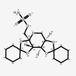 NS(=O)(=O)OC[C@@]12OC[C@H]3OC4(CCCCC4)O[C@H]3[C@@H]1OC1(CCCCC1)O2